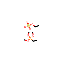 CCOS(=O)(=O)[O-].CC[P+](OC)(OC)OC